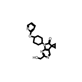 O=C1N(C2CCC(Oc3ccccn3)CC2)c2nc(CO)ncc2C12CC2